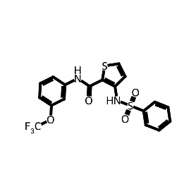 O=C(Nc1cccc(OC(F)(F)F)c1)c1sccc1NS(=O)(=O)c1ccccc1